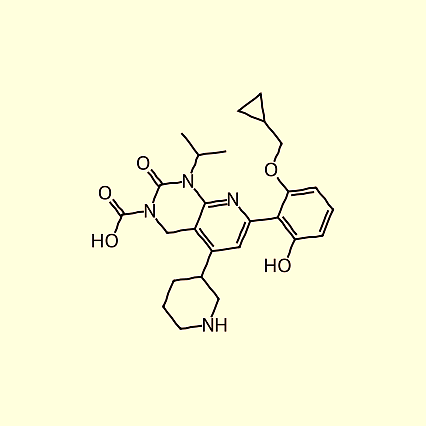 CC(C)N1C(=O)N(C(=O)O)Cc2c(C3CCCNC3)cc(-c3c(O)cccc3OCC3CC3)nc21